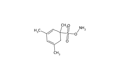 CC1=CC(C)(S(=O)(=O)ON)CC(C)=C1